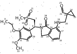 CCOc1cc([C@@H](CS(C)(=O)=O)N2Cc3cccc(NCC4(C=O)CC4)c3C2=O)ccc1OC